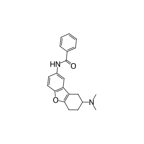 CN(C)C1CCc2oc3ccc(NC(=O)c4ccccc4)cc3c2C1